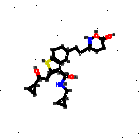 O=C1CCC(CCC2CCc3sc(CC(=O)C4CC4)c(C(=O)NCC4CC4)c3C2)=NO1